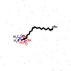 CCCC/C=C\CCCCCC/C=C\CCCCCC(O)(C[N+](C)(C)C)P(=O)(O)O